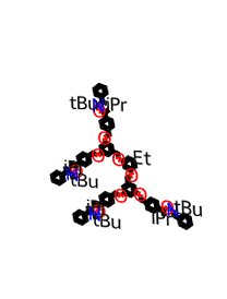 CCc1cc(OCc2cc(OCc3ccc(C(C)ON(C(c4ccccc4)C(C)C)C(C)(C)C)cc3)cc(OCc3ccc(C(C)ON(C(c4ccccc4)C(C)C)C(C)(C)C)cc3)c2)cc(OCc2cc(OCc3ccc(C(C)ON(C(c4ccccc4)C(C)C)C(C)(C)C)cc3)cc(OCc3ccc(C(C)ON(C(c4ccccc4)C(C)C)C(C)(C)C)cc3)c2)c1